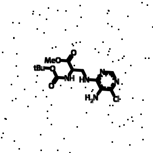 COC(=O)C(CNc1ncnc(Cl)c1N)NC(=O)OC(C)(C)C